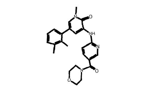 Cc1cccc(-c2cc(Nc3ccc(C(=O)N4CCOCC4)cn3)c(=O)n(C)c2)c1C